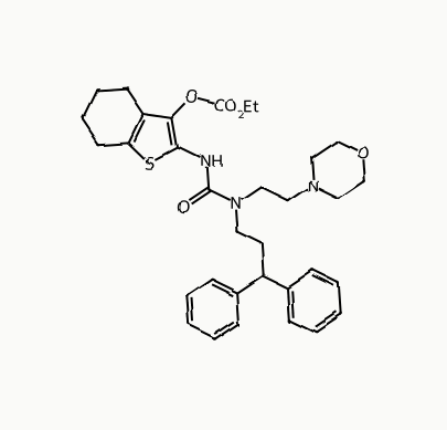 CCOC(=O)Oc1c(NC(=O)N(CCC(c2ccccc2)c2ccccc2)CCN2CCOCC2)sc2c1CCCC2